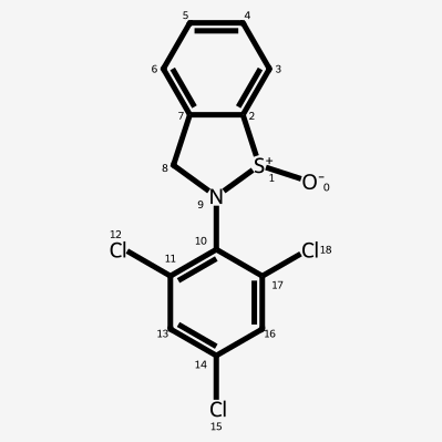 [O-][S+]1c2ccccc2CN1c1c(Cl)cc(Cl)cc1Cl